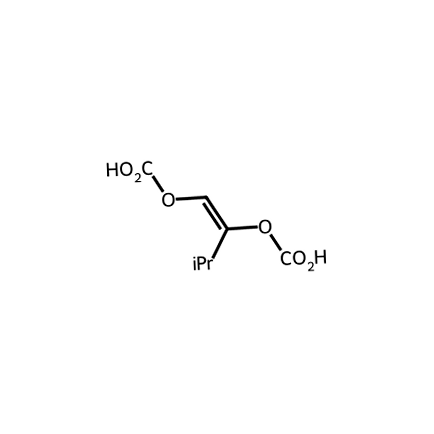 CC(C)/C(=C\OC(=O)O)OC(=O)O